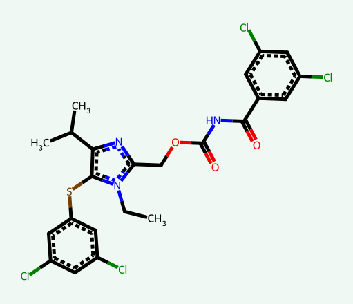 CCn1c(COC(=O)NC(=O)c2cc(Cl)cc(Cl)c2)nc(C(C)C)c1Sc1cc(Cl)cc(Cl)c1